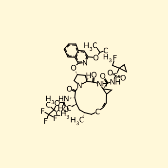 CC(C)Oc1cc2ccccc2c(O[C@@H]2C[C@H]3C(=O)N[C@]4(C(=O)NS(=O)(=O)C5(CF)CC5)CC4/C=C\CC[C@H](C)C[C@@H](C)[C@H](NC(=O)OC(C)(C)C(F)(F)F)C(=O)N3C2)n1